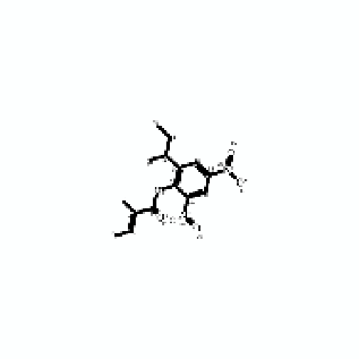 C/C=C(\C)C(=O)Oc1c(C(C)CC)cc([N+](=O)[O-])cc1[N+](=O)[O-]